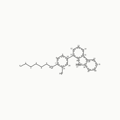 CCCCCCOc1ccc(-c2cccc3c2[nH]c2ccccc23)cc1F